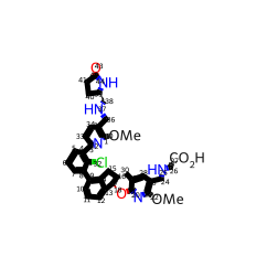 COc1nc(-c2cccc(-c3cccc4c3CC[C@@H]4Oc3nc(OC)c(CNCC(=O)O)cc3C)c2Cl)ccc1CNC[C@@H]1CCC(=O)N1